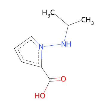 CC(C)Nn1cccc1C(=O)O